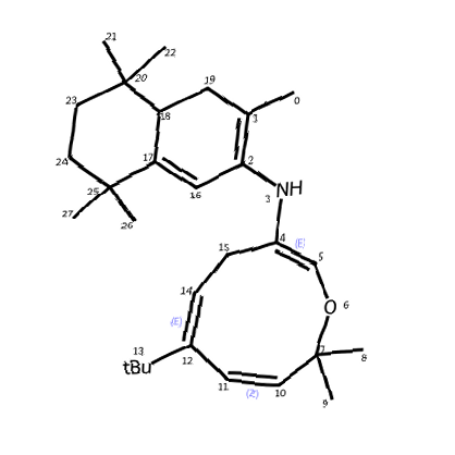 CC1=C(N/C2=C/OC(C)(C)/C=C\C(C(C)(C)C)=C/C2)C=C2C(C1)C(C)(C)CCC2(C)C